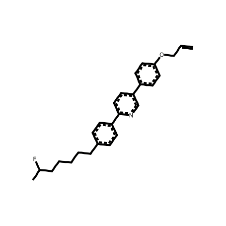 C=CCOc1ccc(-c2ccc(-c3ccc(CCCCCC(C)F)cc3)nc2)cc1